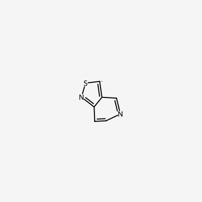 [c]1snc2ccncc12